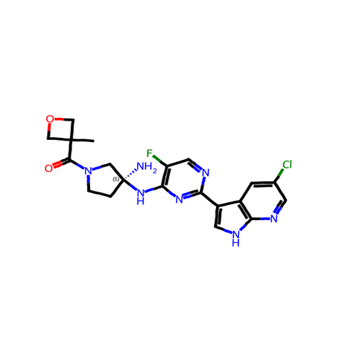 CC1(C(=O)N2CC[C@](N)(Nc3nc(-c4c[nH]c5ncc(Cl)cc45)ncc3F)C2)COC1